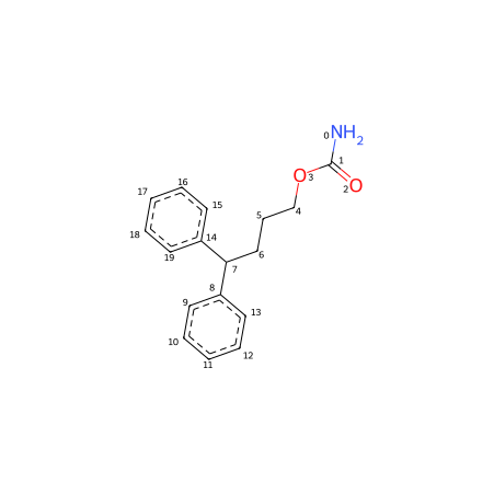 NC(=O)OCCCC(c1ccccc1)c1ccccc1